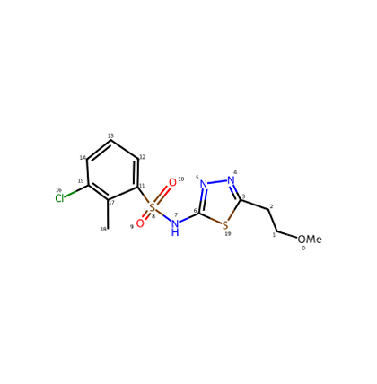 COCCc1nnc(NS(=O)(=O)c2cccc(Cl)c2C)s1